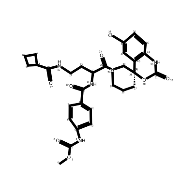 COC(=O)Nc1ccc(C(=O)NC(CCNC(=O)C2CCC2)C(=O)N2CCC[C@@]3(C2)OC(=O)Nc2ccc(Cl)cc23)cc1